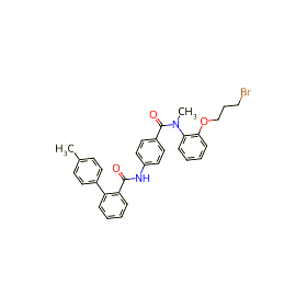 Cc1ccc(-c2ccccc2C(=O)Nc2ccc(C(=O)N(C)c3ccccc3OCCCBr)cc2)cc1